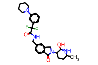 CC1CCC(N2Cc3cc(CNC(=O)C(F)(F)c4cccc(N5CCCCC5)c4)ccc3C2=O)C(O)N1